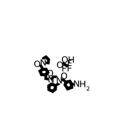 Nc1cccc(C(=O)N2CC(=O)N(Cc3ccc(C(=O)N4CC=CC4)cc3)c3ccccc3C2)c1.O=C(O)C(F)(F)F